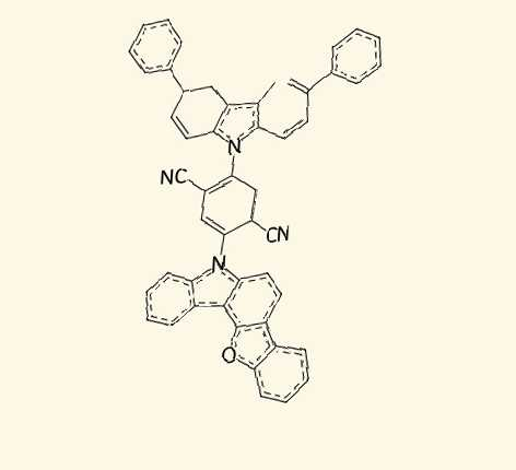 C=C(/C=C\c1c(C)c2c(n1C1=C(C#N)C=C(n3c4ccccc4c4c5oc6ccccc6c5ccc43)C(C#N)C1)C=CC(c1ccccc1)C2)c1ccccc1